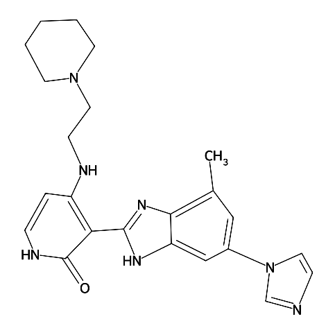 Cc1cc(-n2ccnc2)cc2[nH]c(-c3c(NCCN4CCCCC4)cc[nH]c3=O)nc12